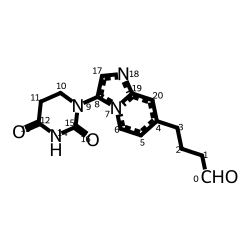 O=CCCCc1ccn2c(N3CCC(=O)NC3=O)cnc2c1